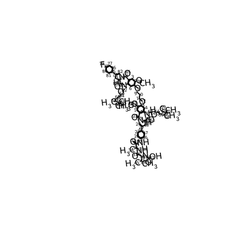 COc1cc2c(cc1OCCCOc1cc3c(cc1OC)C(=O)N1C=C(c4ccc(NC(=O)[C@H](C)NC(=O)[C@@H](NC(=O)O)C(C)C)cc4)C[C@H]1C(=O)N3COCC[Si](C)(C)C)N(COCC[Si](C)(C)C)C(=O)[C@@H]1CC(c3ccc(F)cc3)=CN1C2=O